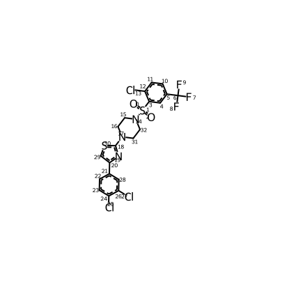 O=S(=O)(c1cc(C(F)(F)F)ccc1Cl)N1CCN(c2nc(-c3ccc(Cl)c(Cl)c3)cs2)CC1